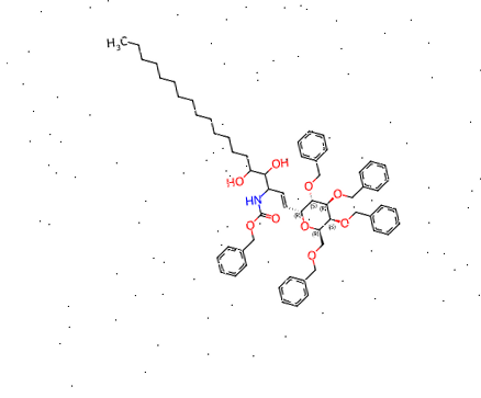 CCCCCCCCCCCCCCC(O)C(O)C(C=C[C@H]1O[C@H](COCc2ccccc2)[C@H](OCc2ccccc2)[C@H](OCc2ccccc2)[C@H]1OCc1ccccc1)NC(=O)OCc1ccccc1